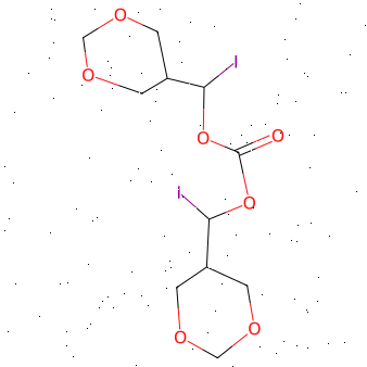 O=C(OC(I)C1COCOC1)OC(I)C1COCOC1